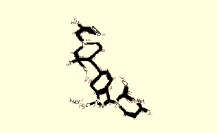 Cl.Cn1nc(N2CCC(=O)NC2=O)c2ccc(C3CCN(CC(=O)O)CC3(F)F)cc21